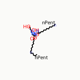 CCCCC/C=C\CCCCCCCCCC[C@H](N)ON1CN(CC(O)CCO)C[C@H]1OC(=O)CCCCCCC/C=C\CCC(C)CCCCC